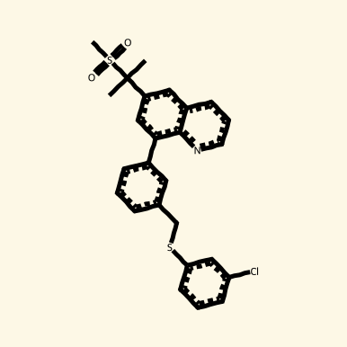 CC(C)(c1cc(-c2cccc(CSc3cccc(Cl)c3)c2)c2ncccc2c1)S(C)(=O)=O